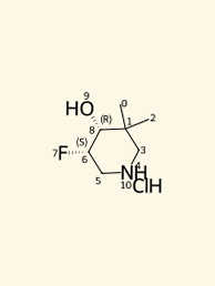 CC1(C)CNC[C@H](F)[C@@H]1O.Cl